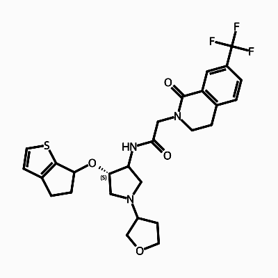 O=C(CN1CCc2ccc(C(F)(F)F)cc2C1=O)NC1CN(C2CCOC2)C[C@@H]1OC1CCc2ccsc21